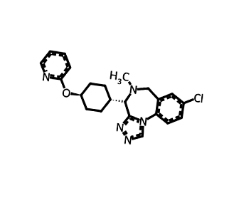 CN1Cc2cc(Cl)ccc2-n2cnnc2C1[C@H]1CC[C@H](Oc2ccccn2)CC1